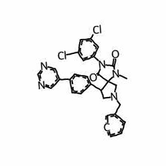 CN1C(=O)N(c2cc(Cl)cc(Cl)c2)C(=O)C12CN(Cc1ccccc1)CC2c1ccc(-c2cncnc2)cc1